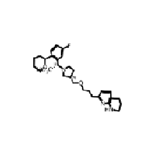 O=C(O)[C@H](c1cc(F)ccc1C1CCCCO1)N1CC[C@@H](COCCCc2ccc3c(n2)NCCC3)C1